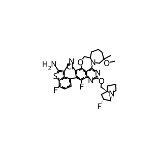 COC1(C)CCCC2COc3c(Cl)c(-c4ccc(F)c5sc(N)c(C#N)c45)c(F)c4nc(OC[C@@]56CCCN5C[C@H](F)C6)nc(c34)N2C1